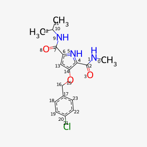 CNC(=O)c1[nH]c(C(=O)NC(C)C)cc1OCc1ccc(Cl)cc1